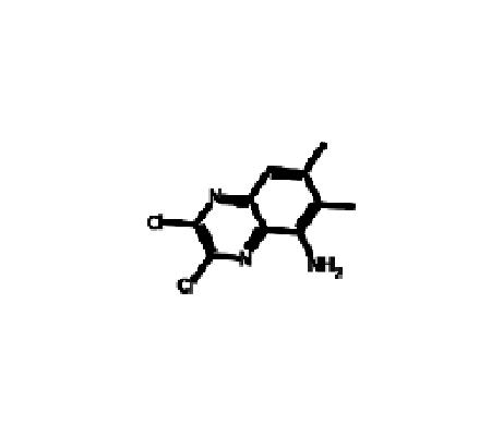 Cc1cc2nc(Cl)c(Cl)nc2c(N)c1C